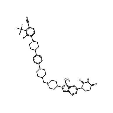 Cn1c(C2CCN(CC3CCN(c4ccc(C5CCN(c6ccc(C#N)c(C(F)(F)F)c6F)CC5)cc4)CC3)CC2)cc2ncc(N3CCC(=O)NC3=O)cc21